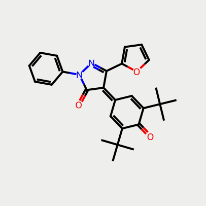 CC(C)(C)C1=CC(=C2C(=O)N(c3ccccc3)N=C2c2ccco2)C=C(C(C)(C)C)C1=O